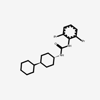 CC(C)c1cccc(C(C)C)c1NC(=O)N[C@H]1CC[C@H](C2CCCCC2)CC1